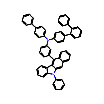 c1ccc(-c2ccc(N(c3ccc(-c4ccccc4-c4ccccc4)cc3)c3cccc(-c4c5ccccc5cc5c4c4ccccc4n5-c4ccccc4)c3)cc2)cc1